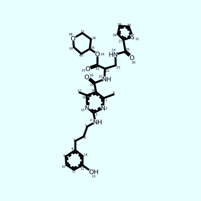 Cc1nc(NCCCc2cccc(O)c2)nc(C)c1C(=O)NC(CNC(=O)c1cccs1)C(=O)OC1CCOCC1